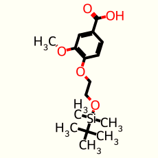 COc1cc(C(=O)O)ccc1OCCO[Si](C)(C)C(C)(C)C